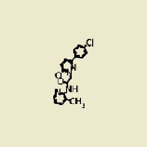 Cc1cccnc1NC(=O)Cn1nc(-c2ccc(Cl)cc2)ccc1=O